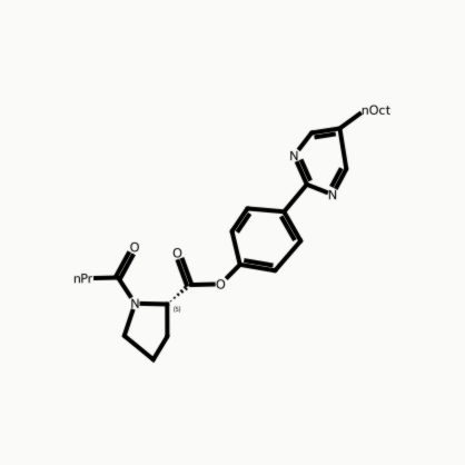 CCCCCCCCc1cnc(-c2ccc(OC(=O)[C@@H]3CCCN3C(=O)CCC)cc2)nc1